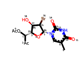 CC(=O)OC(C(C)=O)[C@H]1O[C@@H](n2cc(C)c(=O)[nH]c2=O)C(Br)[C@@H]1O